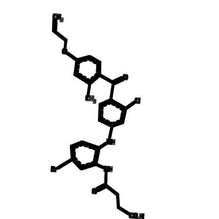 C=CCOc1ccc(C(=O)c2ccc(Nc3ccc(Br)cc3NC(=O)CCC(=O)O)cc2Cl)c(C)c1